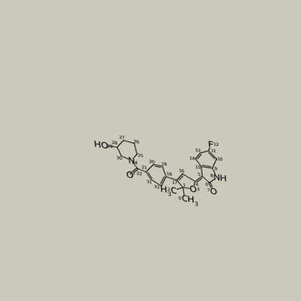 CC1(C)OC(=C2C(=O)Nc3cc(F)ccc32)C=C1c1ccc(C(=O)N2CCCC(O)C2)cc1